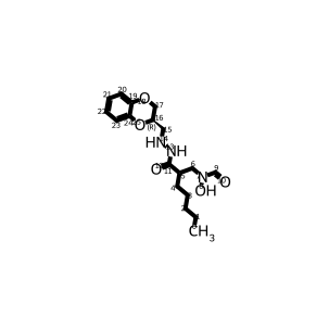 CCCCCC(CN(O)C=O)C(=O)NNC[C@@H]1COc2ccccc2O1